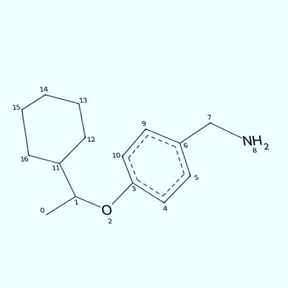 CC(Oc1ccc(CN)cc1)C1CCCCC1